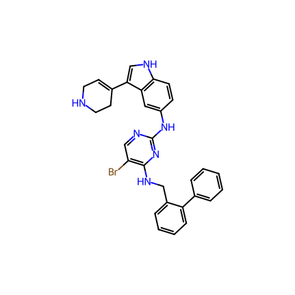 Brc1cnc(Nc2ccc3[nH]cc(C4=CCNCC4)c3c2)nc1NCc1ccccc1-c1ccccc1